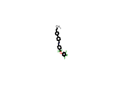 CCCC1C=CC(C2CCC(/C=C/C3CCC(C(F)(F)Oc4cc(F)c(F)c(F)c4)CC3)CC2)CC1